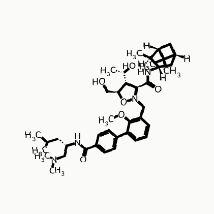 COc1c(CN2O[C@@H](CO)[C@H]([C@H](C)O)[C@H]2C(=O)N[C@H]2C[C@H]3C[C@@H]([C@@H]2C)C3(C)C)cccc1-c1ccc(C(=O)N[C@@H](CC(C)C)CN(C)C)cc1